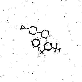 FC(F)(F)c1cc([C@H]2[N]CCC(N3CCN(C4CC4)CC3)[C@H]2c2ccccc2)cc(C(F)(F)F)c1